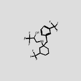 OC(CNC1(Cc2cccc(C(F)(F)F)c2)CCCC(C(F)(F)F)C1)C(F)(F)F